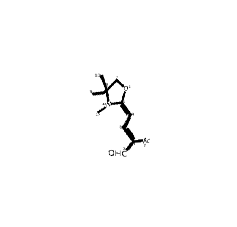 CC(=O)/C(C=O)=C\C=C1\OCC(C)(C)N1C